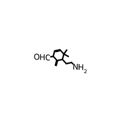 C=C1C(C=O)C=CC(C)(C)C1CCN